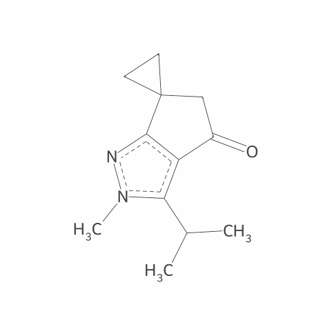 CC(C)c1c2c(nn1C)C1(CC1)CC2=O